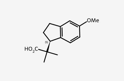 COc1ccc2c(c1)CC[C@@H]2C(C)(C)C(=O)O